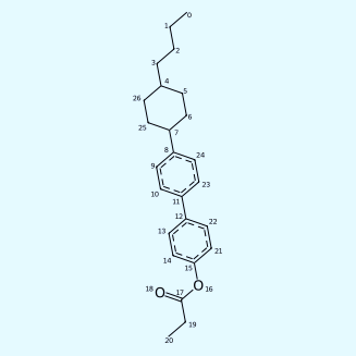 CCCCC1CCC(c2ccc(-c3ccc(OC(=O)CC)cc3)cc2)CC1